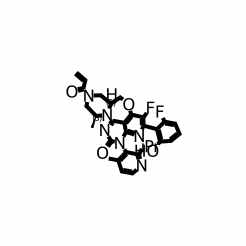 C=CC(=O)N1C[C@@H]2COc3c(F)c(-c4c(O)cccc4F)nc4c3c(nc(=O)n4-c3c(C)ccnc3C(C)C)N2[C@@H](C)C1